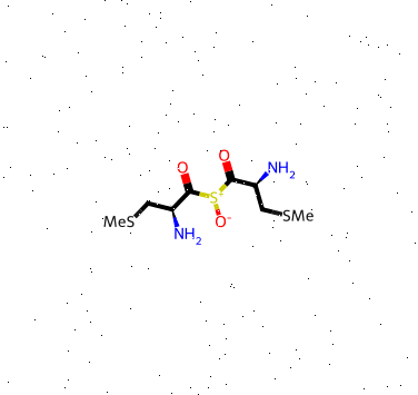 CSC[C@H](N)C(=O)[S+]([O-])C(=O)[C@@H](N)CSC